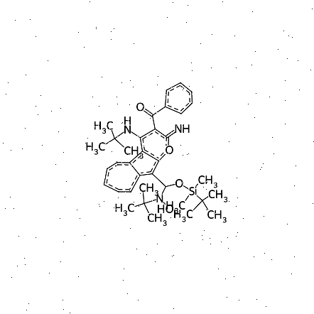 CC(C)(C)Nc1c(C(=O)c2ccccc2)c(=N)oc2c(C(O[Si](C)(C)C(C)(C)C)N(O)C(C)(C)C)c3cccccc-3c12